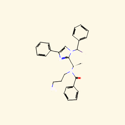 CC(C)[C@H](c1nc(-c2ccccc2)cn1C(I)c1ccccc1)N(CCCN)C(=O)c1ccccc1